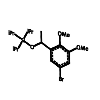 COc1cc(Br)cc(C(C)O[Si](C(C)C)(C(C)C)C(C)C)c1OC